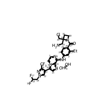 CCc1cc(Nc2nccn3c(-c4cn(CC(F)F)nc4C(F)(F)F)cnc23)ccc1C(=O)N1CCC1(CN)CCl.O=CO